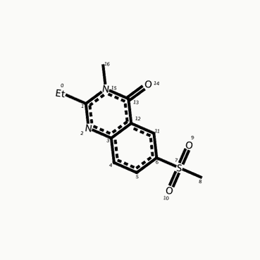 CCc1nc2ccc(S(C)(=O)=O)cc2c(=O)n1C